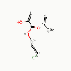 C=C(O)C(=O)OCCC.C=CCl.C=COC(C)=O